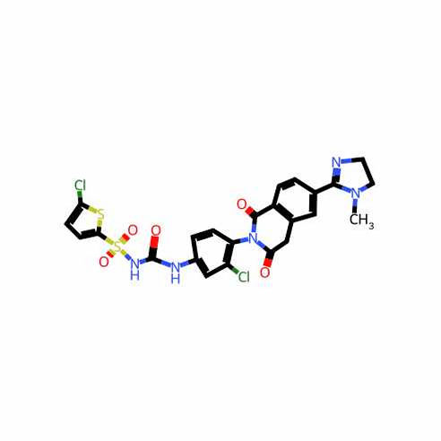 CN1CCN=C1c1ccc2c(c1)CC(=O)N(c1ccc(NC(=O)NS(=O)(=O)c3ccc(Cl)s3)cc1Cl)C2=O